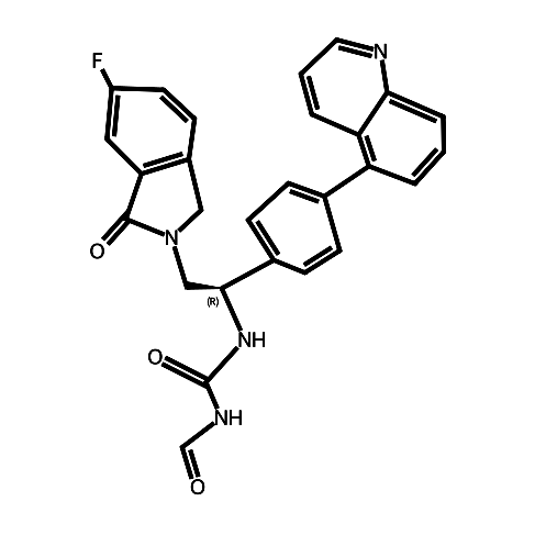 O=CNC(=O)N[C@@H](CN1Cc2ccc(F)cc2C1=O)c1ccc(-c2cccc3ncccc23)cc1